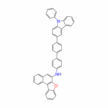 c1ccc(-n2c3ccccc3c3cc(-c4ccc(-c5ccc(Nc6cc7ccccc7c7c6oc6ccccc67)cc5)cc4)ccc32)cc1